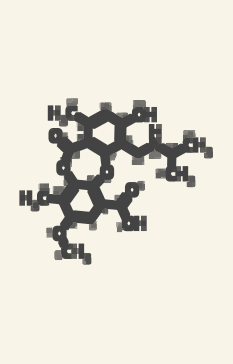 COc1cc(C(=O)O)c2c(c1C)OC(=O)c1c(C)cc(O)c(CNC(C)C)c1O2